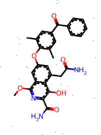 COc1nc(C(N)=O)c(O)c2c(CC(N)=O)cc(Oc3c(C)cc(C(=O)c4ccccc4)cc3C)cc12